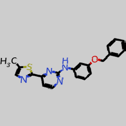 Cc1cnc(-c2ccnc(Nc3cccc(OCc4ccccc4)c3)n2)s1